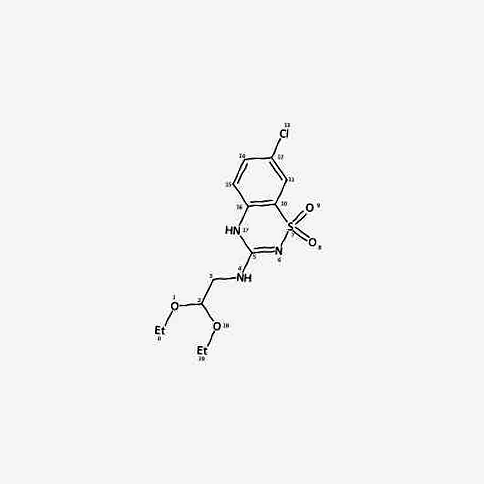 CCOC(CNC1=NS(=O)(=O)c2cc(Cl)ccc2N1)OCC